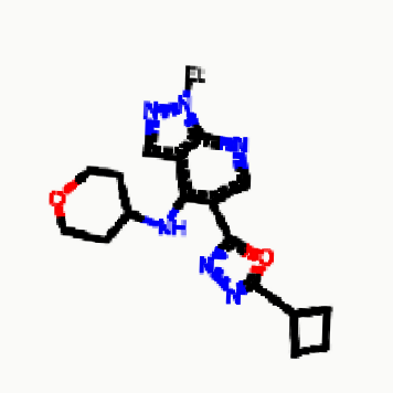 CCn1ncc2c(NC3CCOCC3)c(-c3nnc(C4CCC4)o3)cnc21